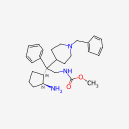 COC(=O)NCC(c1ccccc1)(C1CCN(Cc2ccccc2)CC1)[C@H]1CCC[C@@H]1N